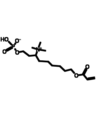 C=CC(=O)OCCCCCCC(CCOP(=O)([O-])O)[N+](C)(C)C